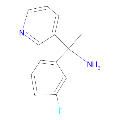 CC(N)(c1cccnc1)c1cccc(F)c1